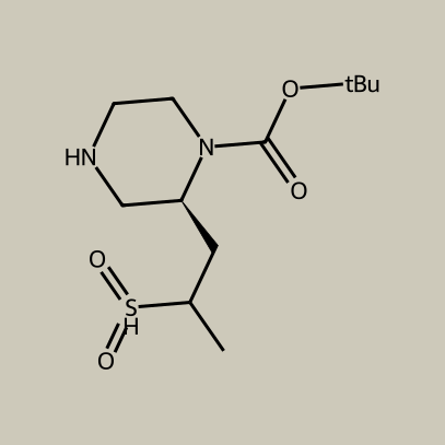 CC(C[C@H]1CNCCN1C(=O)OC(C)(C)C)[SH](=O)=O